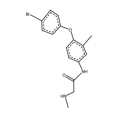 CNCC(=O)Nc1ccc(Oc2ccc(Br)cc2)c(C)c1